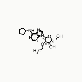 CCO[C@@H]1[C@H](O)[C@@H](CO)O[C@H]1n1cnc2c(NC3CCCC3)ncnc21